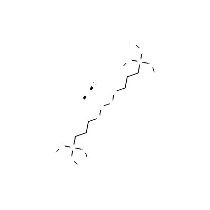 CCO[Si](CCCSSSSCCC[Si](OCC)(OCC)OCC)(OCC)OCC.N=C=O